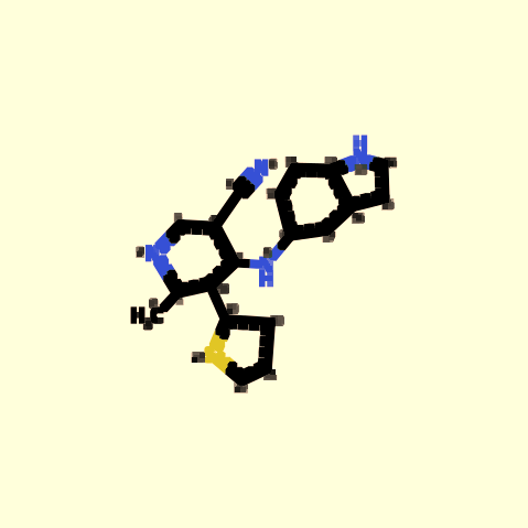 Cc1ncc(C#N)c(Nc2ccc3[nH]ccc3c2)c1-c1cccs1